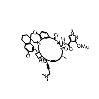 COc1nn(C)cc1C(=O)NS1(=O)=NC(=O)c2ccc3c(c2)N(C[C@@H]2CC[C@H]2[C@](O)(C#CCN(C)C)/C=C\C[C@H](C)C1)C[C@@]1(CCCc2cc(Cl)ccc21)CO3